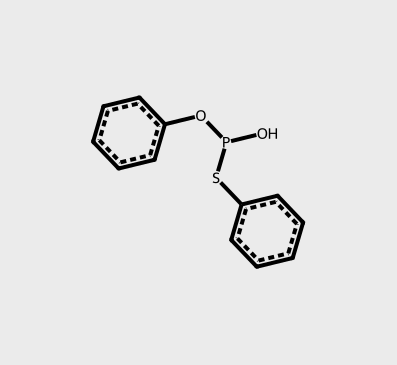 OP(Oc1ccccc1)Sc1ccccc1